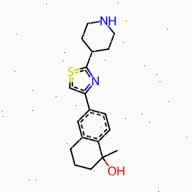 CC1(O)CCCc2cc(-c3csc(C4CCNCC4)n3)ccc21